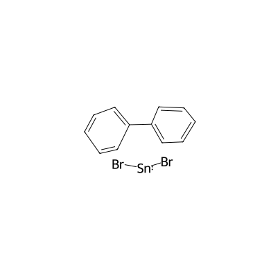 [Br][Sn][Br].c1ccc(-c2ccccc2)cc1